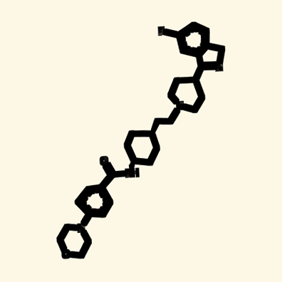 O=C(N[C@H]1CC[C@H](CCN2CCC(C3=NCc4ccc(F)cc43)CC2)CC1)c1ccc(N2CCOCC2)cc1